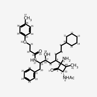 CC(=O)N[C@@H]1C(=O)C(N)(C(CCCC2CCCCC2)C[C@H](O)C(Cc2ccccc2)NC(=O)CCOc2ccc(C)cc2)C1C